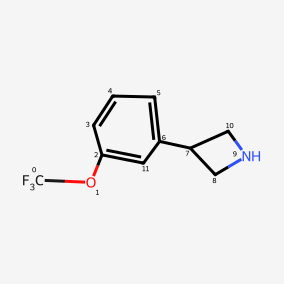 FC(F)(F)Oc1cccc(C2CNC2)c1